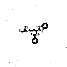 N=C(CF)NCCCC(NC(=O)c1ccccc1)c1nc2ccccc2[nH]1